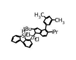 Cc1cc(C)cc(-c2c(C(C)C)ccc3c2C=C(C(C)(C)C)[CH]3[Zr]([Cl])([Cl])[c]2cccc3c2[SiH2]c2ccccc2-3)c1